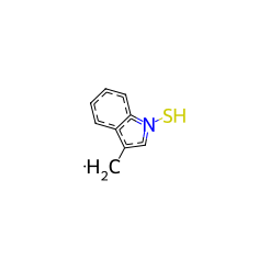 [CH2]c1cn(S)c2ccccc12